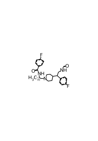 C[C@@H](CN1CCC(C(CNC=O)c2ccc(F)cc2)CC1)NC(=O)c1ccc(F)cc1